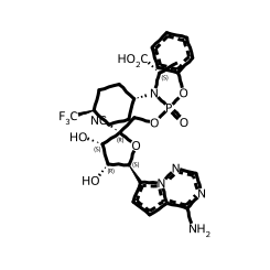 C[C@@H](C(=O)O)N([C@H]1CC[C@H](C(F)(F)F)CC1)P(=O)(OC[C@@]1(C#N)O[C@@H](c2ccc3c(N)ncnn23)[C@H](O)[C@@H]1O)Oc1ccccc1